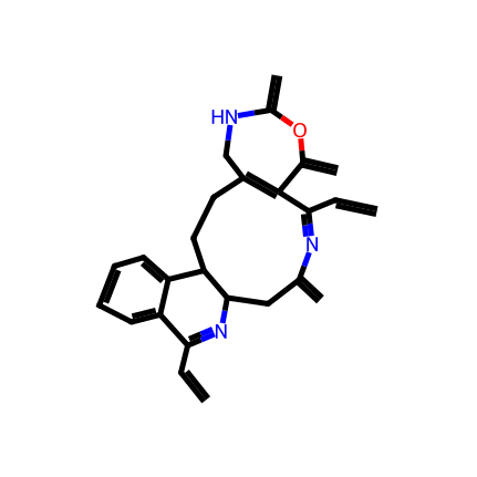 C=CC1=NC2CC(=C)/N=C(/C=C)C3=C(CCC2c2ccccc21)CNC(=C)OC3=C